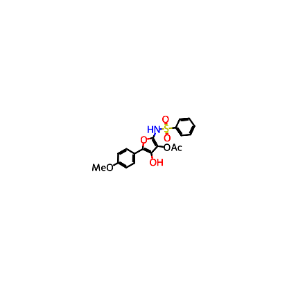 COc1ccc(-c2oc(NS(=O)(=O)c3ccccc3)c(OC(C)=O)c2O)cc1